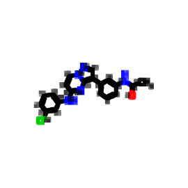 CC(=O)Nc1cccc(-c2cnn3ccc(Nc4cccc(Cl)c4)nc23)c1